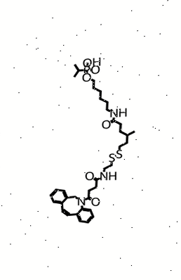 CC(CCSSCCNC(=O)CCC(=O)N1Cc2ccccc2C#Cc2ccccc21)CCC(=O)NCCCCCCOP(=O)(O)C(C)C